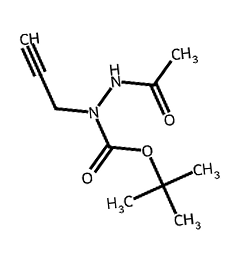 C#CCN(NC(C)=O)C(=O)OC(C)(C)C